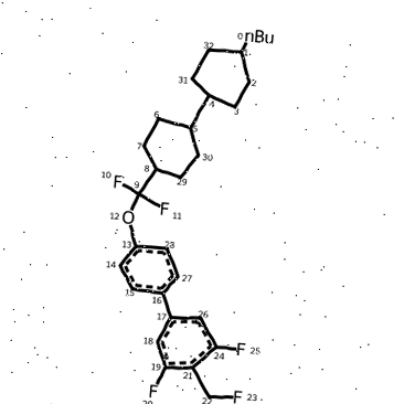 CCCCC1CCC(C2CCC(C(F)(F)Oc3ccc(-c4cc(F)c(CF)c(F)c4)cc3)CC2)CC1